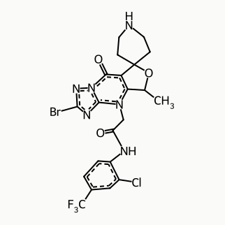 CC1OC2(CCNCC2)c2c1n(CC(=O)Nc1ccc(C(F)(F)F)cc1Cl)c1nc(Br)nn1c2=O